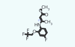 COC(=O)/C=C(\C)Nc1ccc(F)cc1OCC(F)(F)F